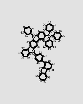 c1ccc(-n2c3ccc(S(c4ccccc4)(c4ccccc4)c4ccccc4)cc3c3cc4c(cc32)c2ccccc2n4-c2ccc(-c3cccc4c3sc3ccccc34)cc2)cc1